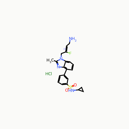 Cc1nc2c(-c3cccc(S(=O)(=O)NC4CC4)c3)cccc2n1C/C(F)=C/CN.Cl